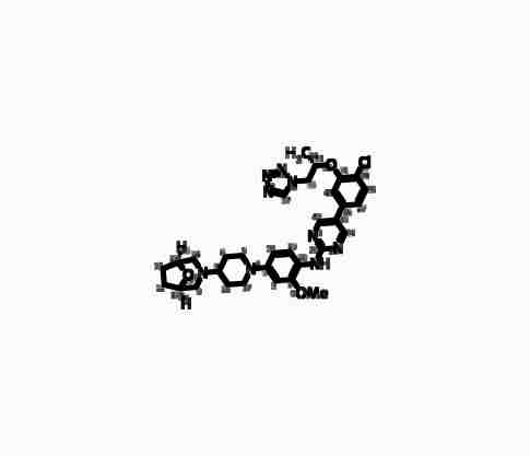 COc1cc(N2CCC(N3C[C@H]4CC[C@@H](C3)O4)CC2)ccc1Nc1ncc(-c2ccc(Cl)c(O[C@@H](C)Cn3cnnn3)c2)cn1